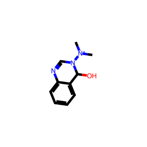 C[N+](C)N1C=Nc2ccccc2C1O